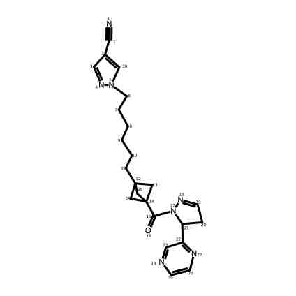 N#Cc1cnn(CCCCCCC23CC(C(=O)N4N=CCC4c4cnccn4)(C2)C3)c1